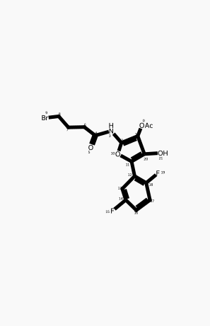 CC(=O)Oc1c(NC(=O)CCCBr)oc(-c2cc(F)ccc2F)c1O